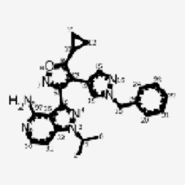 CC(C)n1nc(-c2noc(C3CC3)c2-c2cnn(Cc3ccccc3)c2)c2c(N)nccc21